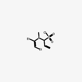 C=CC(N(C)/C(=C\CC)CC)S(=O)(=O)Cl